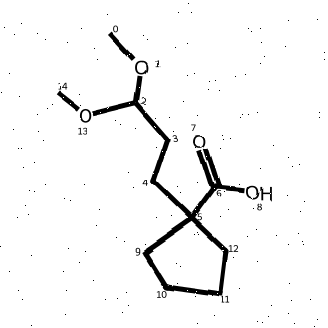 COC(CCC1(C(=O)O)CCCC1)OC